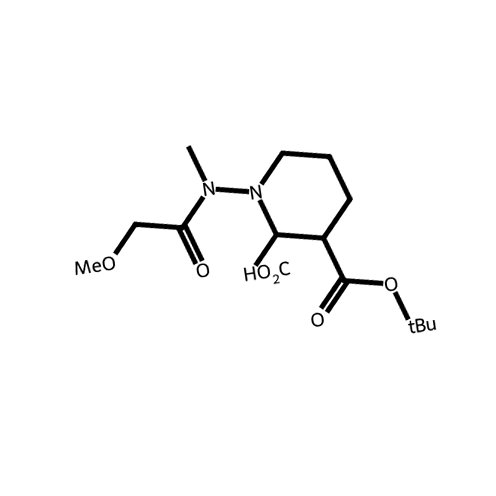 COCC(=O)N(C)N1CCCC(C(=O)OC(C)(C)C)C1C(=O)O